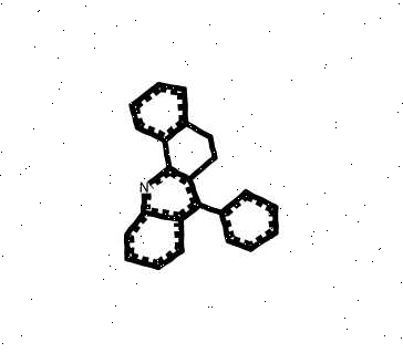 c1ccc(-c2c3c(nc4ccccc24)-c2ccccc2CC3)cc1